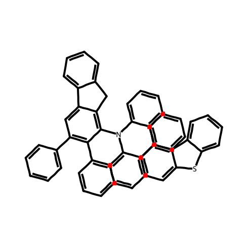 c1ccc(-c2ccccc2N(c2ccccc2-c2cccc3sc4ccccc4c23)c2c3c(cc(-c4ccccc4)c2-c2ccccc2)-c2ccccc2C3)cc1